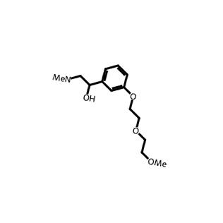 CNCC(O)c1cccc(OCCOCCOC)c1